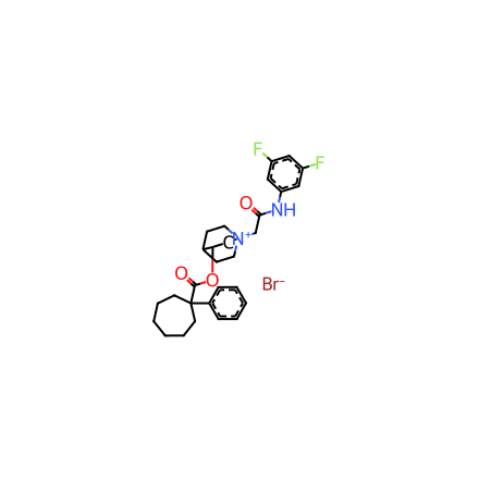 O=C(C[N+]12CCC(CC1)C(OC(=O)C1(c3ccccc3)CCCCCC1)C2)Nc1cc(F)cc(F)c1.[Br-]